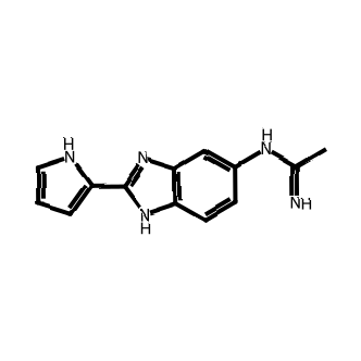 CC(=N)Nc1ccc2[nH]c(-c3ccc[nH]3)nc2c1